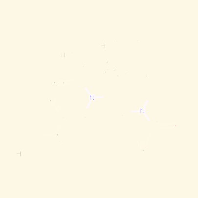 CCOC(=O)CN(C(=O)C(C)(C)C)C1CN(C(=O)O)Cc2ccccc21